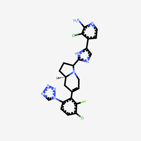 Nc1nccc(-c2cnc(C3CC[C@@H]4CC(c5c(-n6cnnn6)ccc(Cl)c5F)=CCN34)[nH]2)c1Cl